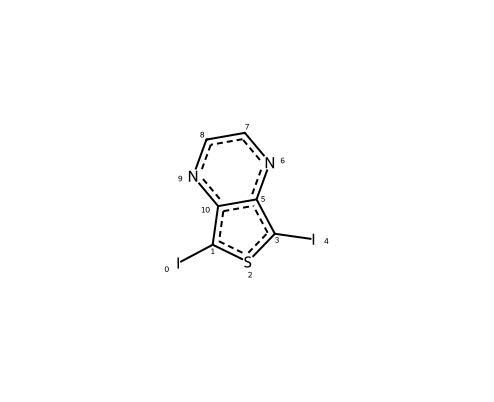 Ic1sc(I)c2nccnc12